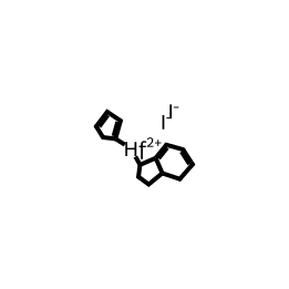 C1=CC[C]([Hf+2][CH]2CCC3CC=CC=C32)=C1.[I-].[I-]